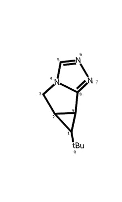 CC(C)(C)C1C2Cn3cnnc3C21